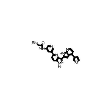 CC(C)(C)CC(=O)Nc1cncc(-c2ccc3[nH]nc(-c4cc5c(-c6ccoc6)ccnc5[nH]4)c3n2)c1